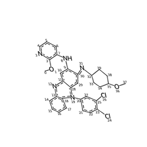 COc1ncccc1Nc1cc2nc3ccccc3n(-c3ccc(Cl)c(Cl)c3)c-2c/c1=N\C1CCC(OC)CC1